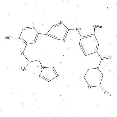 COc1cc(C(=O)N2CCO[C@@H](C)C2)ccc1Nc1ncc(-c2ccc(C#N)c(O[C@@H](C)Cn3cncn3)c2)cn1